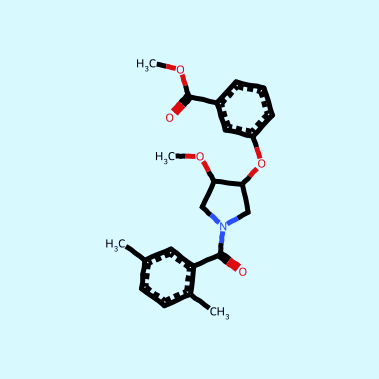 COC(=O)c1cccc(OC2CN(C(=O)c3cc(C)ccc3C)CC2OC)c1